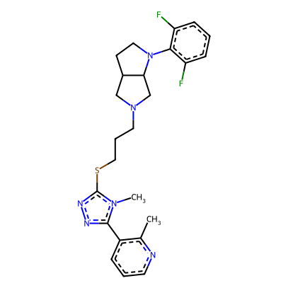 Cc1ncccc1-c1nnc(SCCCN2CC3CCN(c4c(F)cccc4F)C3C2)n1C